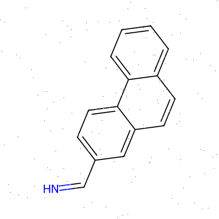 N=Cc1ccc2c(ccc3ccccc32)c1